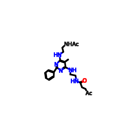 CC(=O)CCC(=O)NCCNc1nc(-c2ccccc2)nc(NCCNC(C)=O)c1C